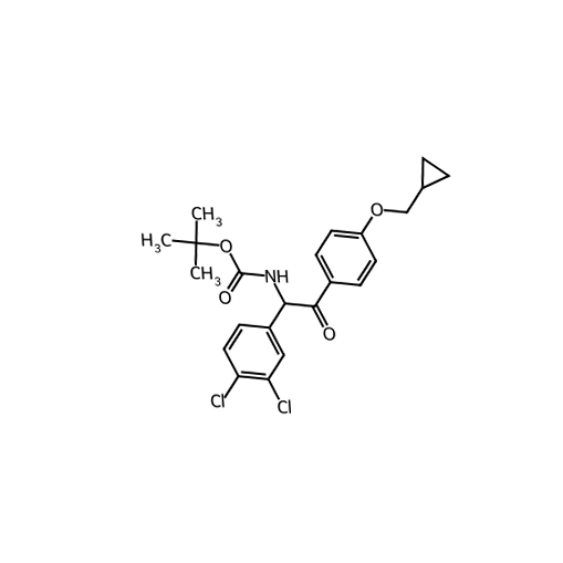 CC(C)(C)OC(=O)NC(C(=O)c1ccc(OCC2CC2)cc1)c1ccc(Cl)c(Cl)c1